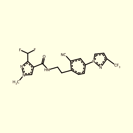 Cn1cc(C(=O)NCCc2ccc(-n3ccc(C(F)(F)F)n3)cc2C#N)c(C(F)F)n1